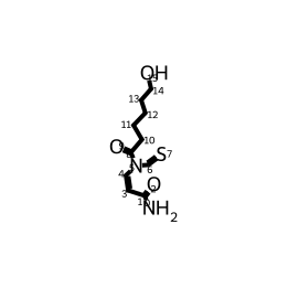 NC(=O)/C=C\N(C=S)C(=O)CCCCCO